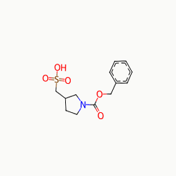 O=C(OCc1ccccc1)N1CCC(CS(=O)(=O)O)C1